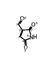 O=CC1=CC(=O)NC1=O